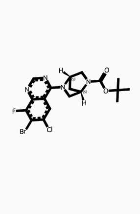 CC(C)(C)OC(=O)N1C[C@@H]2C[C@H]1CN2c1ncnc2c(F)c(Br)c(Cl)cc12